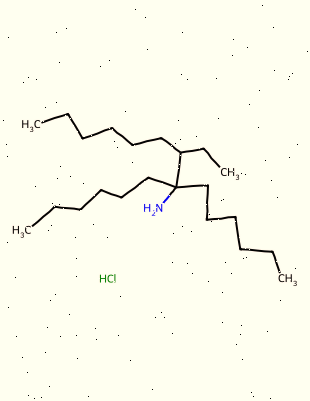 CCCCCCC(CC)C(N)(CCCCCC)CCCCCC.Cl